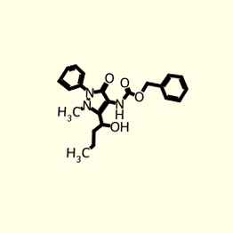 CCCC(O)c1c(NC(=O)OCc2ccccc2)c(=O)n(-c2ccccc2)n1C